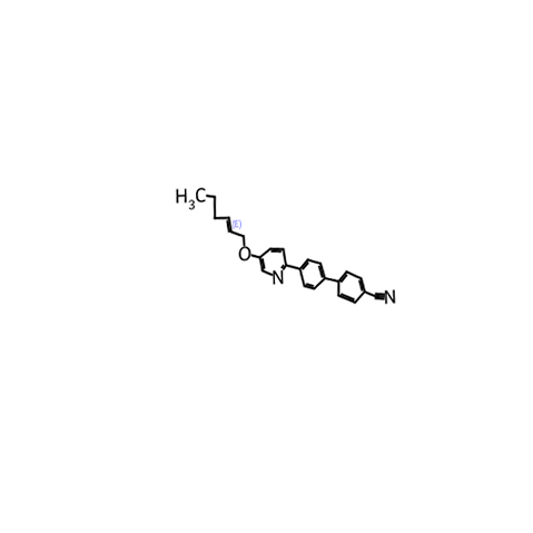 CCC/C=C/COc1ccc(-c2ccc(-c3ccc(C#N)cc3)cc2)nc1